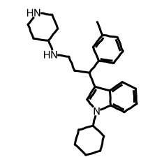 Cc1cccc(C(CCNC2CCNCC2)c2cn(C3CCCCC3)c3ccccc23)c1